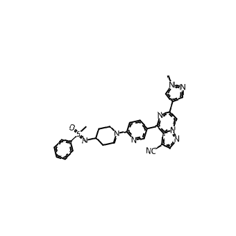 Cn1cc(-c2cn3ncc(C#N)c3c(-c3ccc(N4CCC(N=S(C)(=O)c5ccccc5)CC4)nc3)n2)cn1